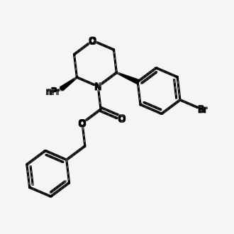 CCC[C@H]1COC[C@@H](c2ccc(Br)cc2)N1C(=O)OCc1ccccc1